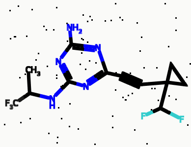 CC(Nc1nc(N)nc(C#CC2(C(F)F)CC2)n1)C(F)(F)F